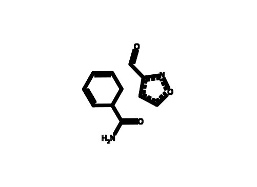 NC(=O)C1C=CC=CC1.O=Cc1ccon1